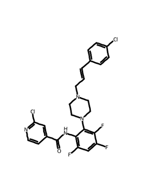 O=C(Nc1c(F)cc(F)c(F)c1N1CCN(C/C=C/c2ccc(Cl)cc2)CC1)c1ccnc(Cl)c1